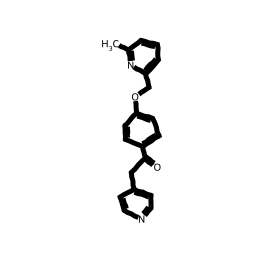 Cc1cccc(COc2ccc(C(=O)Cc3ccncc3)cc2)n1